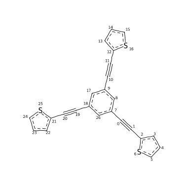 C(#Cc1cccs1)c1cc(C#Cc2cccs2)cc(C#Cc2cccs2)c1